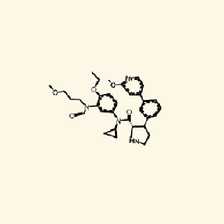 CCOc1ccc(N(C(=O)[C@H]2CNCC[C@@H]2c2cccc(-c3ccnc(OC)c3)c2)C2CC2)cc1N(C=O)CCCOC